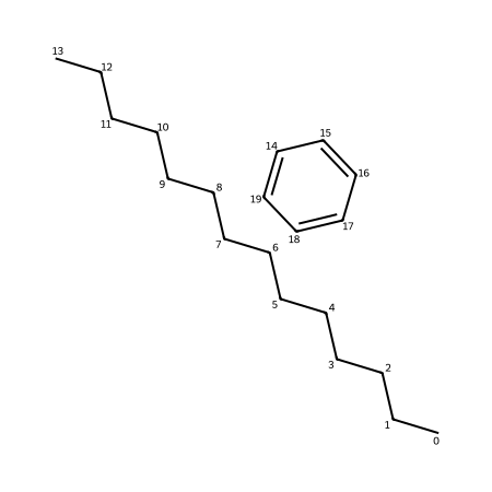 CCCCCCCCCCCCCC.c1ccccc1